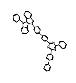 c1ccc(-c2ccc(-c3nc(-c4ccccc4)nc(-c4ccc(-c5ccc(-c6nc7ccccc7c7c6c6ccccc6n7-c6ccccc6)cc5)cc4)n3)cc2)cc1